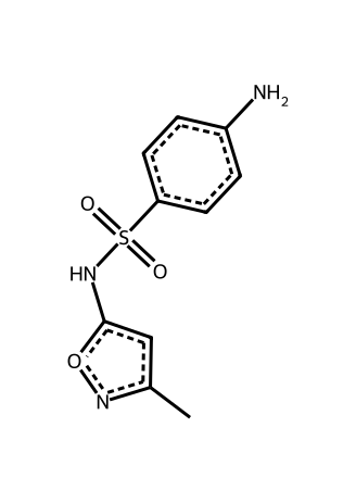 Cc1cc(NS(=O)(=O)c2ccc(N)cc2)on1